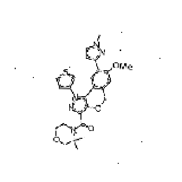 COc1cc2c(cc1-c1ccn(C)n1)-c1c(c(C(=O)N3CCOCC3(C)C)nn1-c1ccsc1)OC2